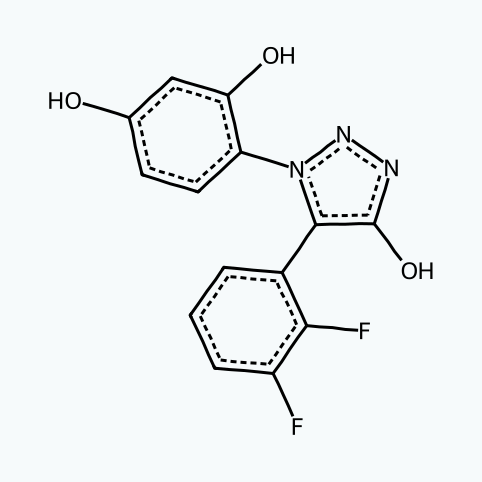 Oc1ccc(-n2nnc(O)c2-c2cccc(F)c2F)c(O)c1